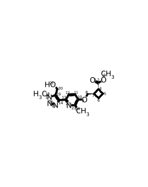 COC(=O)[C@@H]1CC[C@H]1COc1ccc(-c2nnn(C)c2CO)nc1C